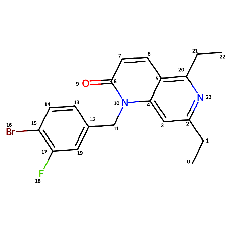 CCc1cc2c(ccc(=O)n2Cc2ccc(Br)c(F)c2)c(CC)n1